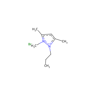 CCCn1c(C)cc(C)[n+]1C.[Br-]